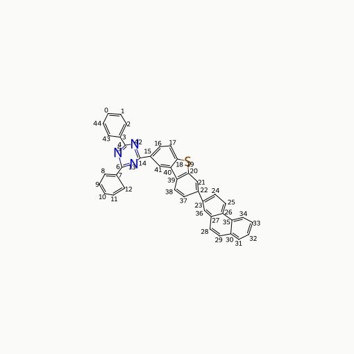 c1ccc(-c2nc(-c3ccccc3)nc(-c3ccc4sc5cc(-c6ccc7c(ccc8ccccc87)c6)ccc5c4c3)n2)cc1